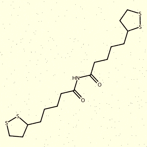 O=C(CCCCC1CCSS1)NC(=O)CCCCC1CCSS1